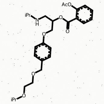 CC(=O)Oc1ccccc1C(=O)OC(CNC(C)C)COc1ccc(COCCOC(C)C)cc1